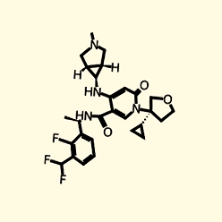 C[C@@H](NC(=O)c1cn([C@]2(C3CC3)CCOC2)c(=O)cc1N[C@H]1[C@@H]2CN(C)C[C@@H]21)c1cccc(C(F)F)c1F